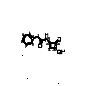 O=C(Cc1ccccc1)NC1CN(O)C1=O